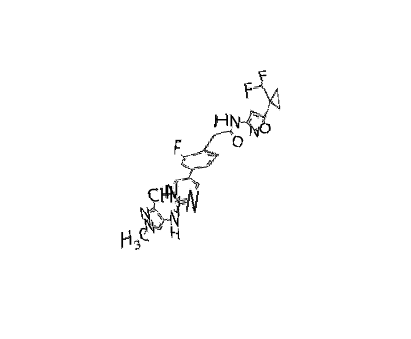 Cc1nn(C)cc1Nc1ncc(-c2ccc(CC(=O)Nc3cc(C4(C(F)F)CC4)on3)c(F)c2)cn1